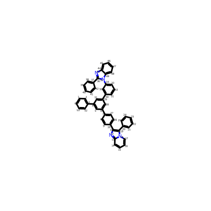 c1ccc(-c2cc(-c3ccc(-c4nc5ccccn5c4-c4ccccc4)cc3)cc(-c3cccc(-n4c(-c5ccccc5)nc5ccccc54)c3)c2)cc1